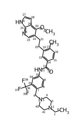 CCN1CCN(Cc2ccc(NC(=O)c3ccc(C)c(CCc4cnc5[nH]ccc5c4OC)c3)cc2C(F)(F)F)CC1